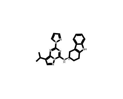 CC(C)c1cnn2c(N[C@@H]3CCc4[nH]c5ccccc5c4C3)nc(-n3cccn3)nc12